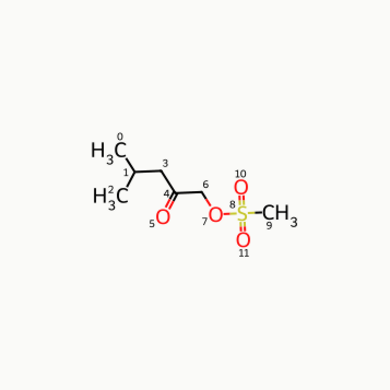 CC(C)CC(=O)COS(C)(=O)=O